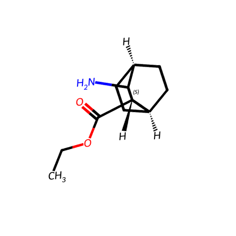 CCOC(=O)[C@@H]1C(N)[C@H]2CC[C@@H]1CC2